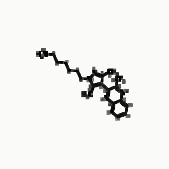 Cc1nn(CCCCCCN)c(C)c1-c1nc2ccccc2nc1C(F)(F)F